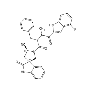 CN(C(=O)c1cc2c(F)cccc2[nH]1)C(Cc1ccccc1)C(=O)N1C[C@]2(C[C@H]1C#N)C(=O)Nc1ccccc12